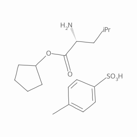 CC(C)C[C@@H](N)C(=O)OC1CCCC1.Cc1ccc(S(=O)(=O)O)cc1